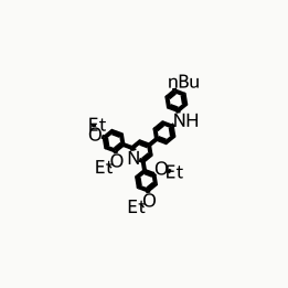 CCCCc1ccc(Nc2ccc(-c3cc(-c4ccc(OCC)cc4OCC)nc(-c4ccc(OCC)cc4OCC)c3)cc2)cc1